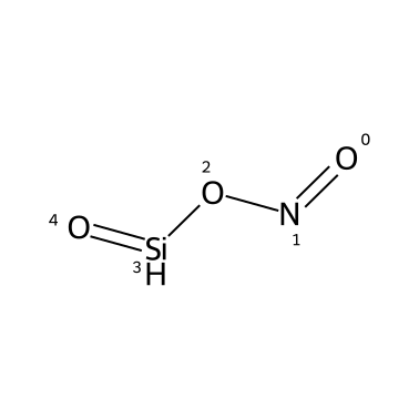 O=NO[SiH]=O